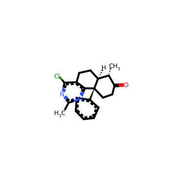 Cc1nc(Cl)c2c(n1)[C@@]1(c3ccccc3)CCC(=O)[C@@H](C)[C@@H]1CC2